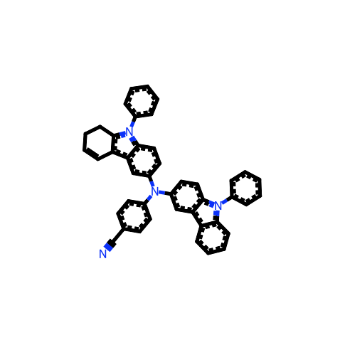 N#Cc1ccc(N(c2ccc3c(c2)c2c(n3-c3ccccc3)CCC=C2)c2ccc3c(c2)c2ccccc2n3-c2ccccc2)cc1